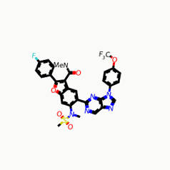 CNC(=O)c1c(-c2ccc(F)cc2)oc2cc(N(C)S(C)(=O)=O)c(-c3ncc4ncn(-c5ccc(OC(F)(F)F)cc5)c4n3)cc12